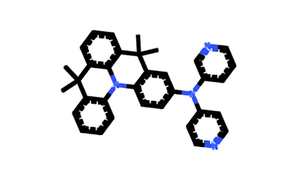 CC1(C)c2ccccc2N2c3ccc(N(c4ccncc4)c4cccnc4)cc3C(C)(C)c3cccc1c32